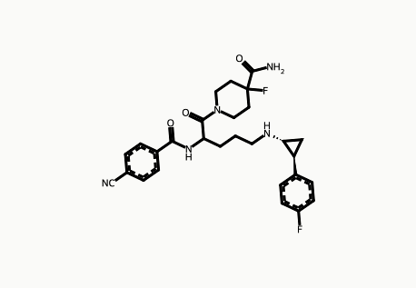 N#Cc1ccc(C(=O)NC(CCCN[C@@H]2C[C@H]2c2ccc(F)cc2)C(=O)N2CCC(F)(C(N)=O)CC2)cc1